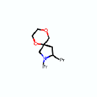 CC(C)C1CC2(COCCO2)CN1C(C)C